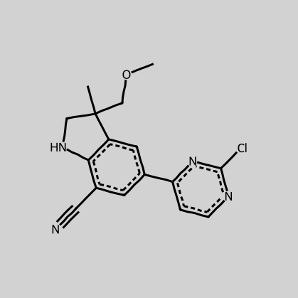 COCC1(C)CNc2c(C#N)cc(-c3ccnc(Cl)n3)cc21